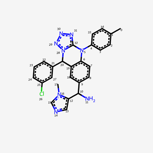 Cc1ccc(N2c3ccc(C(N)c4cncn4C)cc3C(c3cccc(Cl)c3)n3nnnc32)cc1